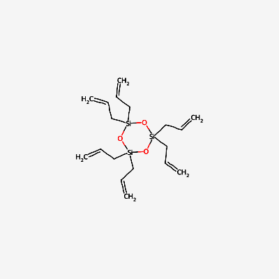 C=CC[Si]1(CC=C)O[Si](CC=C)(CC=C)O[Si](CC=C)(CC=C)O1